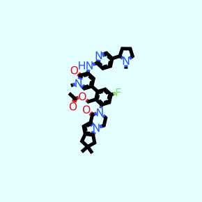 CC(=O)OCc1c(-c2cc(Nc3ccc(C4CCCN4C)cn3)c(=O)n(C)c2)cc(F)cc1N1CCn2c(cc3c2CC(C)(C)C3)C1=O